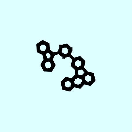 c1ccc2c3c4c(cccc4cc2c1)-c1ccc(-c2ncnc(-n4c5ccccc5c5ccccc54)n2)cc1-3